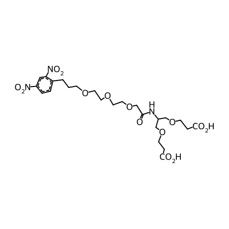 O=C(O)CCOCC(COCCC(=O)O)NC(=O)COCCOCCOCCCc1ccc([N+](=O)[O-])cc1[N+](=O)[O-]